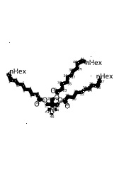 CCCCCC/C=C\CCCCCCCC(=O)OCC(COC(=O)CCCCCCC/C=C\CCCCCC)(COC(=O)CCCCCCC/C=C\CCCCCC)[N+](C)(C)C